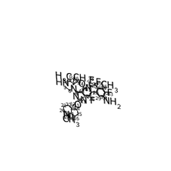 CC[C@]12CNCCN1c1nc(OC[C@@]34CCC[C@@H]3N(C)CCC4)nc3c(F)c(-c4cc(N)c(F)c(C)c4C(F)(F)F)nc(c13)O[C@H]2C